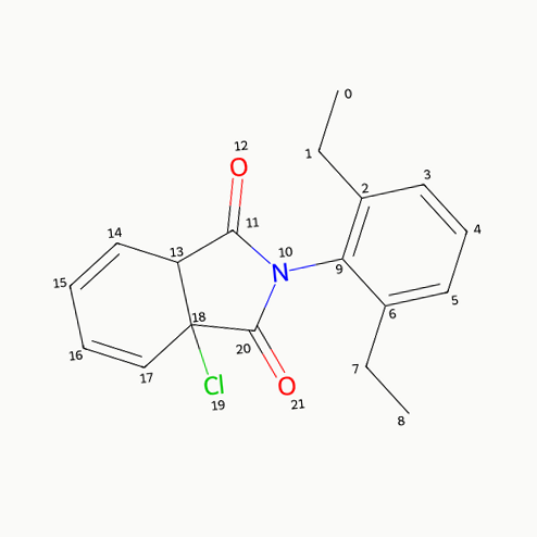 CCc1cccc(CC)c1N1C(=O)C2C=CC=CC2(Cl)C1=O